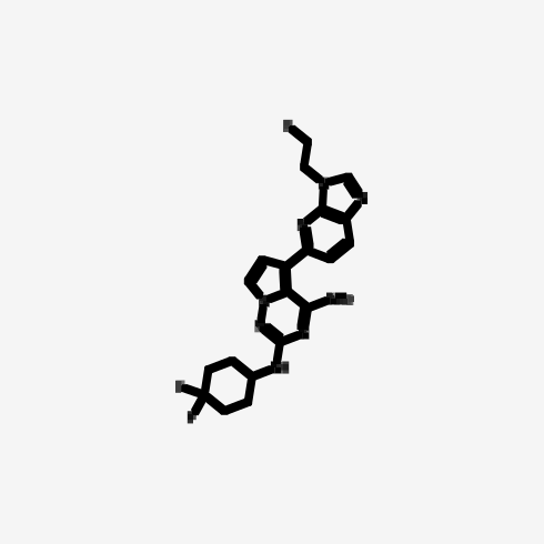 CNc1nc(NC2CCC(F)(F)CC2)nn2ccc(-c3ccc4ncn(CCF)c4n3)c12